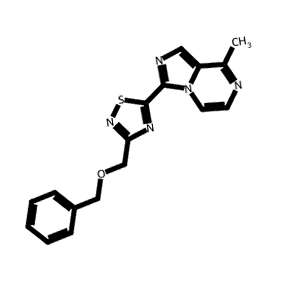 Cc1nccn2c(-c3nc(COCc4ccccc4)ns3)ncc12